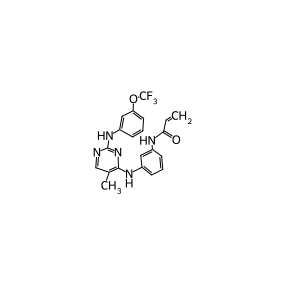 C=CC(=O)Nc1cccc(Nc2nc(Nc3cccc(OC(F)(F)F)c3)ncc2C)c1